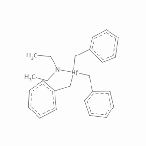 CC[N](CC)[Hf]([CH2]c1ccccc1)([CH2]c1ccccc1)[CH2]c1ccccc1